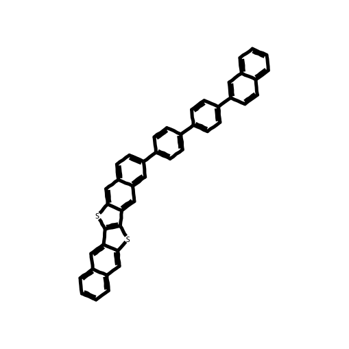 c1ccc2cc(-c3ccc(-c4ccc(-c5ccc6cc7sc8c9cc%10ccccc%10cc9sc8c7cc6c5)cc4)cc3)ccc2c1